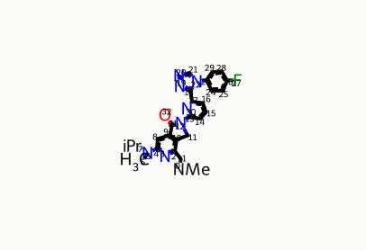 CNCc1nc(N(C)C(C)C)cc2c1CN(c1cccc(-c3nncn3-c3ccc(F)cc3)n1)C2=O